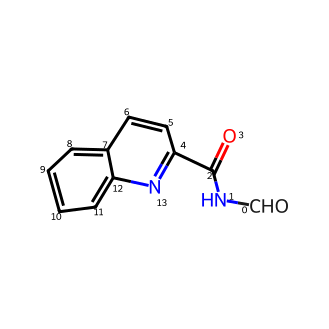 O=CNC(=O)c1ccc2ccccc2n1